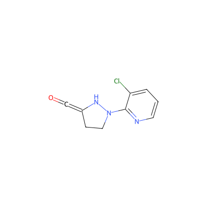 O=C=C1CCN(c2ncccc2Cl)N1